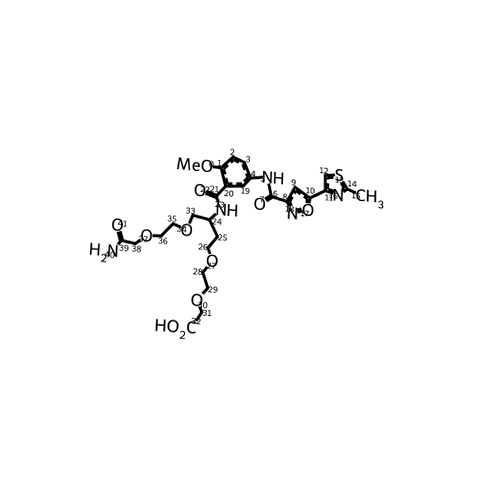 COc1ccc(NC(=O)c2cc(-c3csc(C)n3)on2)cc1C(=O)NC(CCOCCOCC(=O)O)COCCOCC(N)=O